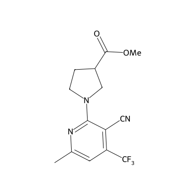 COC(=O)C1CCN(c2nc(C)cc(C(F)(F)F)c2C#N)C1